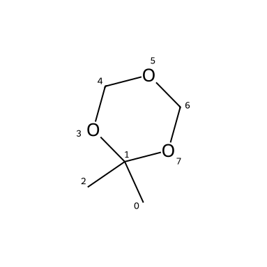 CC1(C)OCOCO1